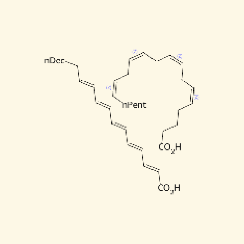 CCCCC/C=C\C/C=C\C/C=C\C/C=C\CCCC(=O)O.CCCCCCCCCCCC=CC=CC=CC=CC=CC(=O)O